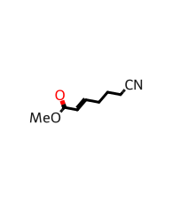 COC(=O)C=CCCCC#N